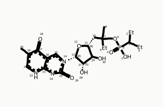 CCC(CC)P(=O)(O)OC(C)(CC)C[C@H]1O[C@@H](n2cc3c(=O)c(C)c[nH]c3nc2=O)[C@@H](O)C1O